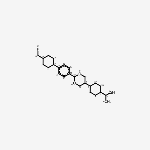 CC(S)C1CCC(C2COC(c3ccc(C4CCC(CF)CC4)cc3)OC2)CC1